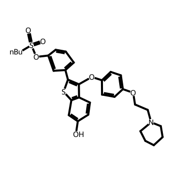 CCCCS(=O)(=O)Oc1cccc(-c2sc3cc(O)ccc3c2Oc2ccc(OCCN3CCCCC3)cc2)c1